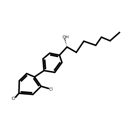 CCCCCC[C@@H](O)c1ccc(-c2ccc(Cl)cc2Cl)cc1